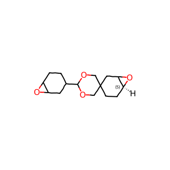 C1CC2OC2CC1C1OCC2(CC[C@@H]3OC3C2)CO1